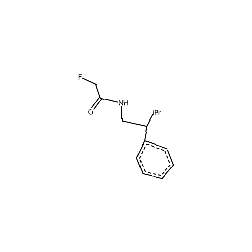 CC(C)C(CNC(=O)CF)c1ccccc1